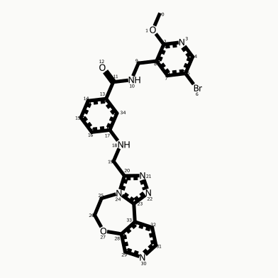 COc1ncc(Br)cc1CNC(=O)c1cccc(NCc2nnc3n2CCOc2cnccc2-3)c1